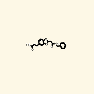 O=C(O)CCc1ccc2c(c1)OC(CC(=O)NCc1ccccc1)O2